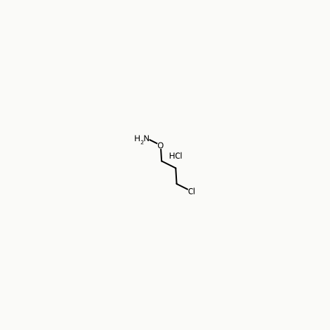 Cl.NOCCCCl